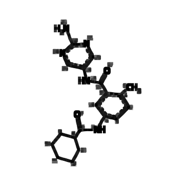 Cc1ccc(NC(=O)C2CCCCC2)cc1C(=O)Nc1cnc(N)nc1